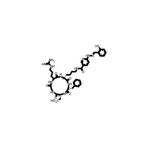 N=C(N)NCCCC1NC(=O)CNC(=O)[C@@H](CC(=O)O)NC(=O)[C@@H](Cc2ccccc2)NC(=O)[C@@H](CCCCNC(=O)c2ccc(NN=Cc3ccccc3S)nc2)NC1=O